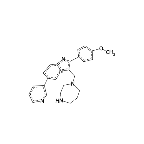 COc1ccc(-c2nc3ccc(-c4cccnc4)cn3c2CN2CCCNCC2)cc1